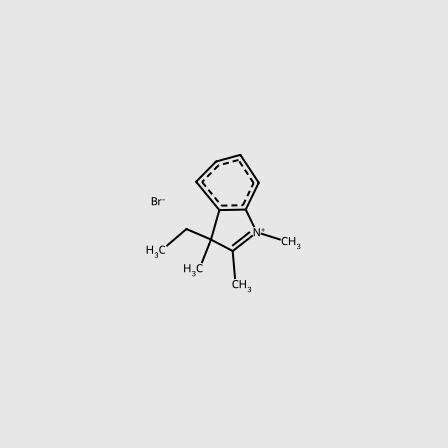 CCC1(C)C(C)=[N+](C)c2ccccc21.[Br-]